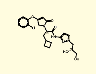 O=C(Nc1ccn(C[C@@H](O)CO)n1)[C@@H](CC1CCC1)N1CC(Oc2ccccc2Cl)=CC1=O